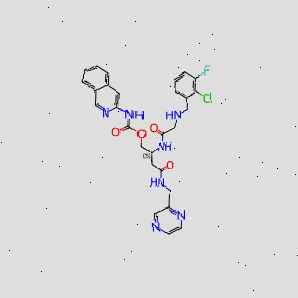 O=C(C[C@@H](COC(=O)Nc1cc2ccccc2cn1)NC(=O)CNCc1cccc(F)c1Cl)NCc1cnccn1